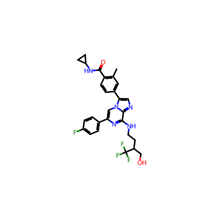 Cc1cc(-c2cnc3c(NCCC(CO)C(F)(F)F)nc(-c4ccc(F)cc4)cn23)ccc1C(=O)NC1CC1